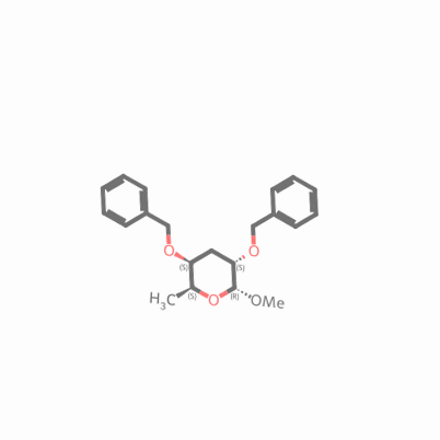 CO[C@@H]1O[C@@H](C)[C@@H](OCc2ccccc2)C[C@@H]1OCc1ccccc1